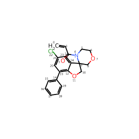 C=CC(=O)N1CCOCC12COc1c(-c3ccccc3)cc(Cl)cc12